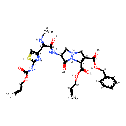 C=CCOC(=O)Nc1nc(/C(=N/OC)C(=O)N[C@H]2CN3CC(C(=O)OCc4ccccc4)=C(C(=O)OCC=C)N3C2=O)cs1